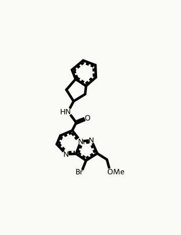 COCc1nn2c(C(=O)NC3Cc4ccccc4C3)ccnc2c1Br